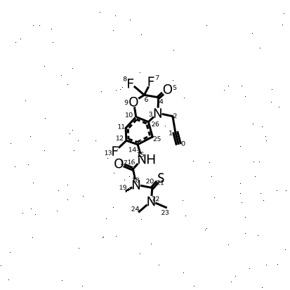 C#CCN1C(=O)C(F)(F)Oc2cc(F)c(NC(=O)N(C)C(=S)N(C)C)cc21